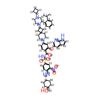 CC(C)c1ccccc1C1CN(C2CCC2)CCN1C1CC2(CCN(c3ccc(C(=O)NS(=O)(=O)c4ccc(NC[C@H]5CC[C@](C)(O)CC5)c([N+](=O)[O-])c4)c(Oc4cnc5[nH]ccc5c4)c3)CC2)C1